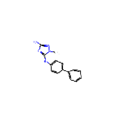 Cn1nc(N)nc1Nc1ccc(-c2ccccc2)cc1